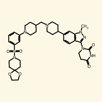 Cn1nc(N2CCC(=O)NC2=O)c2ccc(C3CCN(CC4CCN(c5cccc(S(=O)(=O)N6CCC7(CC6)OCCO7)c5)CC4)CC3)cc21